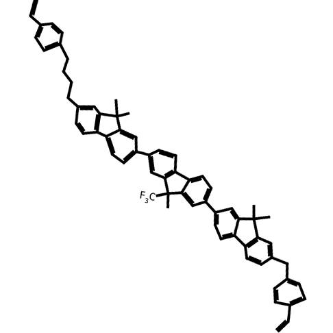 C=Cc1ccc(CCCCc2ccc3c(c2)C(C)(C)c2cc(-c4ccc5c(c4)C(C)(C(F)(F)F)c4cc(-c6ccc7c(c6)C(C)(C)c6cc(Cc8ccc(C=C)cc8)ccc6-7)ccc4-5)ccc2-3)cc1